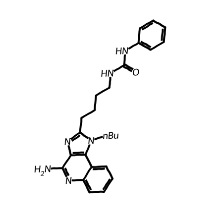 CCCCn1c(CCCCNC(=O)Nc2ccccc2)nc2c(N)nc3ccccc3c21